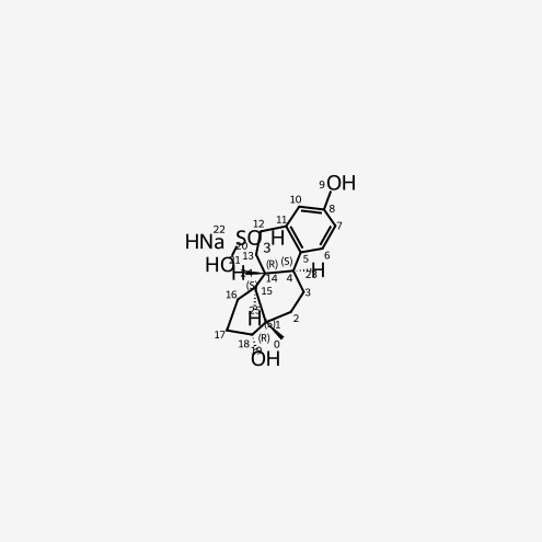 C[C@]12CC[C@@H]3c4ccc(O)cc4CC[C@H]3[C@@H]1CC[C@H]2O.O=S(=O)(O)O.[NaH]